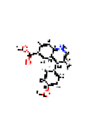 COC(=O)c1ccc2ncc(Cl)c(-c3ccc(OC)cc3)c2c1